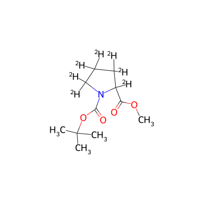 [2H]C1([2H])N(C(=O)OC(C)(C)C)C([2H])(C(=O)OC)C([2H])([2H])C1([2H])[2H]